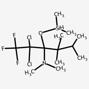 CC(C)C(C)(C)C(O[SiH](C)C)(N(C)C)C(Cl)(Cl)C(F)(F)F